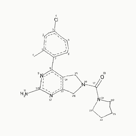 Cc1cc(Cl)ccc1-c1nc(N)nc2c1CN(C(=O)N1CCCC1)C2